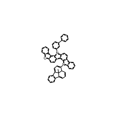 CC12C3=CC=CC1C(n1c4ccccc4c4ccc5c(c6ccc7oc8ccccc8c7c6n5-c5cccc(-c6ccccc6)c5)c41)=CC=C2c1ccccc13